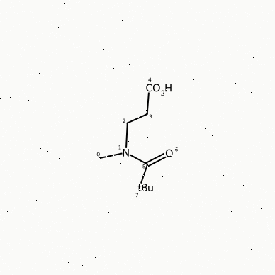 CN(CCC(=O)O)C(=O)C(C)(C)C